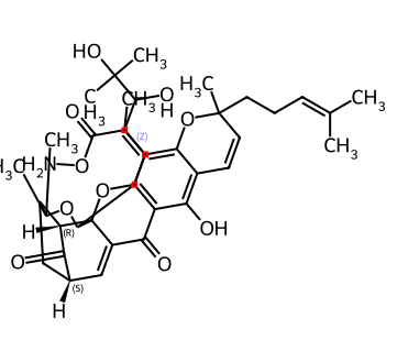 CC(C)=CCCC1(C)C=Cc2c(O)c3c(c(CC(O)C(C)(C)O)c2O1)OC12C(=C[C@@H]4CC([C@H]1C4=O)C(C)(C)OC2C/C=C(/C)C(=O)ON)C3=O